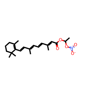 CC1=C(/C=C/C(C)=C/C=C/C(C)=C/C(=O)OC(C)O[N+](=O)[O-])C(C)(C)CCC1